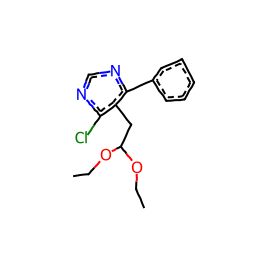 CCOC(Cc1c(Cl)ncnc1-c1ccccc1)OCC